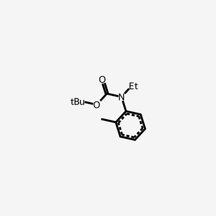 CCN(C(=O)OC(C)(C)C)c1ccccc1C